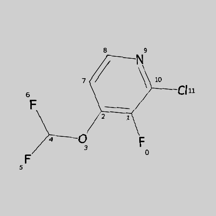 Fc1c(OC(F)F)ccnc1Cl